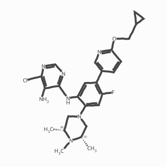 C[C@@H]1CN(c2cc(F)c(-c3ccc(OCC4CC4)nc3)cc2Nc2ncnc(Cl)c2N)C[C@H](C)N1C